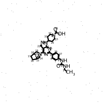 CCNC(=O)Nc1ccc(-c2nc(N3CC4CCC(C3)O4)c3cnn(C4CCN(C(=O)O)CC4)c3n2)cc1